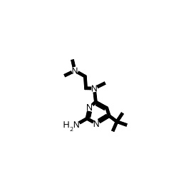 CN(C)CCN(C)c1cc(C(C)(C)C)nc(N)n1